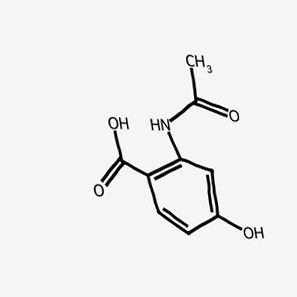 CC(=O)Nc1cc(O)ccc1C(=O)O